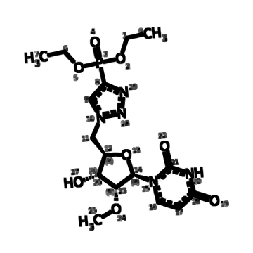 CCOP(=O)(OCC)c1cn(C[C@H]2O[C@@H](n3ccc(=O)[nH]c3=O)[C@H](OC)[C@@H]2O)nn1